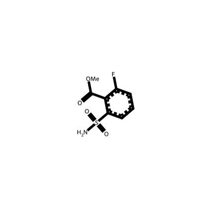 COC(=O)c1c(F)cccc1S(N)(=O)=O